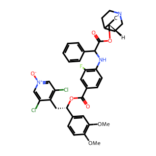 COc1ccc([C@H](Cc2c(Cl)c[n+]([O-])cc2Cl)OC(=O)c2ccc(NC(C(=O)O[C@H]3CN4CCC3CC4)c3ccccc3)c(F)c2)cc1OC